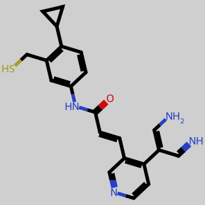 N=C/C(=C\N)c1ccncc1/C=C/C(=O)Nc1ccc(C2CC2)c(CS)c1